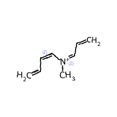 C=C/C=C\[N+](C)=C/C=C